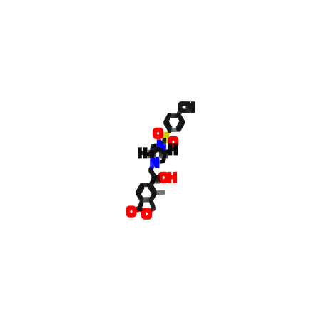 Cc1c([C@H](O)CN2C[C@@H]3C[C@H]2CN3S(=O)(=O)c2ccc(C#N)cc2)ccc2c1COC2=O